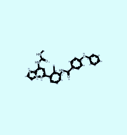 CNC(=O)Nc1cc(-c2cccc(NC(=O)c3ccc(Oc4ccccc4)cc3)c2C)nn2ccnc12